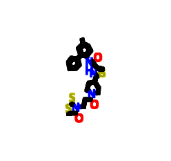 Cc1ccc(NC(=O)c2csc(C3CCN(C(=O)CCN4C(=O)CSC4=S)CC3)n2)c(-c2ccccc2)c1